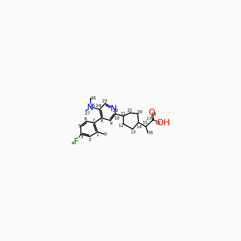 Cc1cc(F)ccc1-c1cc(C2CCC(C(C)C(=O)O)CC2)ncc1N(C)C